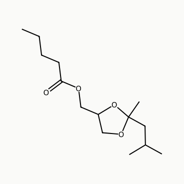 CCCCC(=O)OCC1COC(C)(CC(C)C)O1